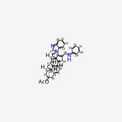 CC(=O)O[C@H]1CC[C@@]2(C)C(=CC[C@@H]3[C@@H]2CC[C@]2(C)C(n4cnc5ccccc54)=C(CNc4ccccc4)C[C@@H]32)C1